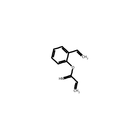 C=CC(=N)Oc1ccccc1C=C